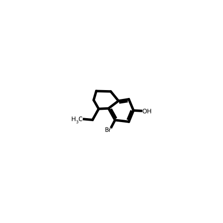 CCC1CCCc2cc(O)cc(Br)c21